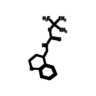 CC(C)(C)OC(=O)NCC1CCOc2ccccc21